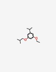 CCOc1cc(OCC(C)C)cc([C](C)C)c1